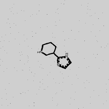 c1c[nH]c(C2CCCNC2)n1